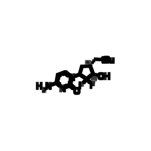 CC(C)(C)C[C@H]1CC(n2ccc(N)nc2=O)C(F)(F)[C@@H]1O